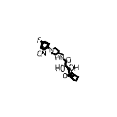 N#Cc1cc(F)ccc1N1CCC(CNC(=O)[C@H](O)[C@@H](O)C(=O)C2C3CCC2CC3)CC1